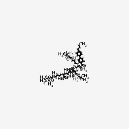 CCCCc1ccc(-c2ccc(C(=O)N(C)[C@@H](CCCCNC(=O)OC(C)(C)C)C(=O)N[C@H](C(=O)N[C@@H](N)C(=O)N[C@@H](CCCCNC(=O)OC(C)(C)C)C(=O)O)[C@@H](C)OCC(C)C)cc2)cc1